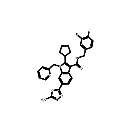 Cc1nnc(-c2ccc3c(C(=O)NCc4ccc(F)c(F)c4)c(C4CCCC4)n(Cc4ccccn4)c3c2)o1